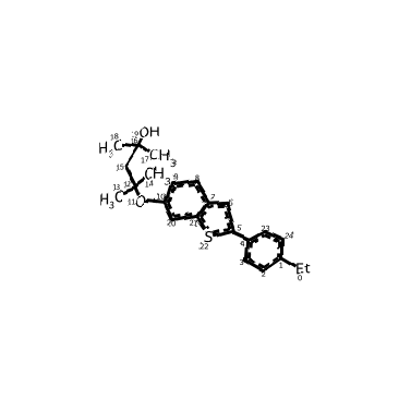 CCc1ccc(-c2cc3ccc(OC(C)(C)CC(C)(C)O)cc3s2)cc1